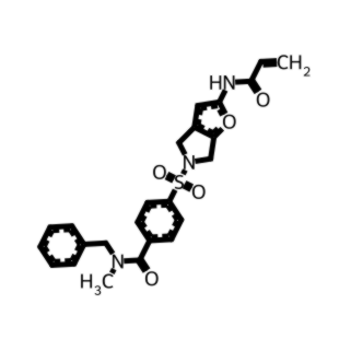 C=CC(=O)Nc1cc2c(o1)CN(S(=O)(=O)c1ccc(C(=O)N(C)Cc3ccccc3)cc1)C2